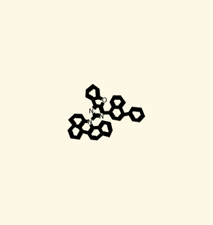 c1ccc(-c2ccc(-c3nc(N4c5c(ccc6ccccc56)-c5cccc6cccc4c56)nc4c3oc3ccccc34)c3ccccc23)cc1